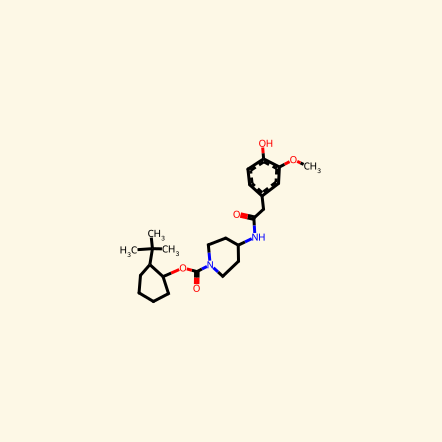 COc1cc(CC(=O)NC2CCN(C(=O)OC3CCCCC3C(C)(C)C)CC2)ccc1O